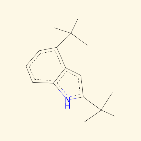 CC(C)(C)c1cc2c(C(C)(C)C)cccc2[nH]1